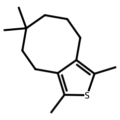 Cc1sc(C)c2c1CCCC(C)(C)CC2